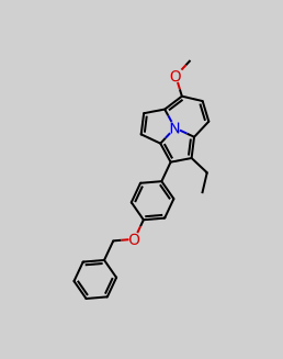 CCc1c(-c2ccc(OCc3ccccc3)cc2)c2ccc3c(OC)ccc1n32